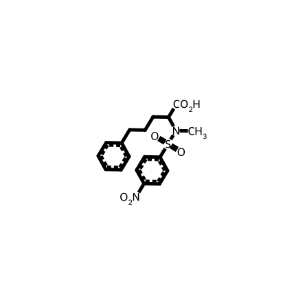 CN(C(CCCc1ccccc1)C(=O)O)S(=O)(=O)c1ccc([N+](=O)[O-])cc1